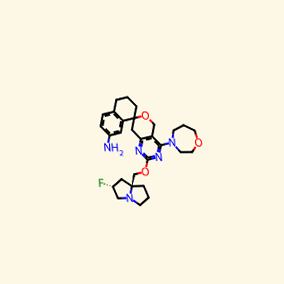 Nc1ccc2c(c1)C1(CCC2)Cc2nc(OC[C@@]34CCCN3C[C@H](F)C4)nc(N3CCCOCC3)c2CO1